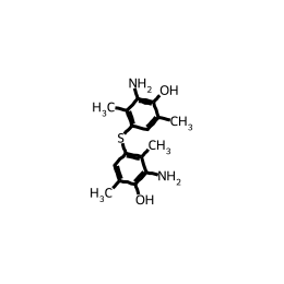 Cc1cc(Sc2cc(C)c(O)c(N)c2C)c(C)c(N)c1O